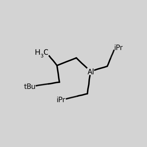 CC(C)[CH2][Al]([CH2]C(C)C)[CH2]C(C)CC(C)(C)C